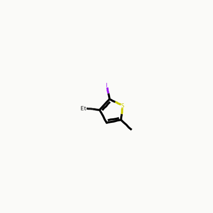 CCc1cc(C)sc1I